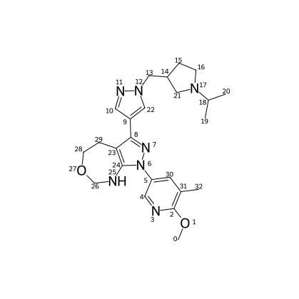 COc1ncc(-n2nc(-c3cnn(CC4CCN(C(C)C)C4)c3)c3c2NCOCC3)cc1C